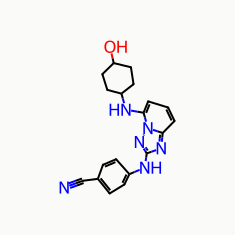 N#Cc1ccc(Nc2nc3cccc(NC4CCC(O)CC4)n3n2)cc1